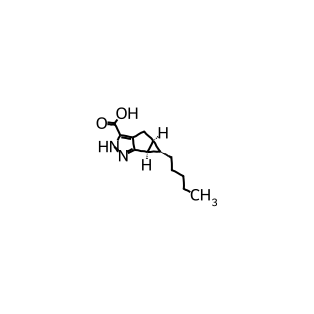 CCCCC[C@@H]1[C@@H]2Cc3c(n[nH]c3C(=O)O)[C@H]12